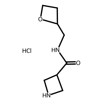 Cl.O=C(NCC1CCO1)C1CNC1